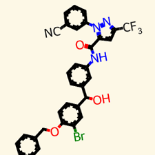 N#Cc1cccc(-n2nc(C(F)(F)F)cc2C(=O)Nc2cccc(C(O)c3ccc(OCc4ccccc4)c(Br)c3)c2)c1